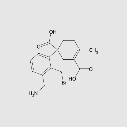 CC1=C(C(=O)O)CC(C(=O)O)(c2cccc(CN)c2CBr)C=C1